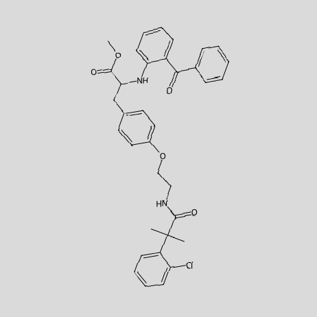 COC(=O)C(Cc1ccc(OCCNC(=O)C(C)(C)c2ccccc2Cl)cc1)Nc1ccccc1C(=O)c1ccccc1